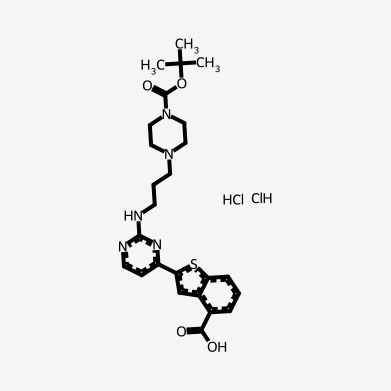 CC(C)(C)OC(=O)N1CCN(CCCNc2nccc(-c3cc4c(C(=O)O)cccc4s3)n2)CC1.Cl.Cl